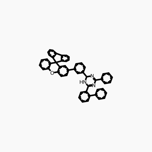 c1ccc(C2=NC(c3cccc(-c4ccc5c(c4)C4(c6ccccc6O5)c5ccccc5-c5ccccc54)c3)NC(c3ccccc3-c3ccccc3)=N2)cc1